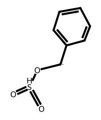 O=[SH](=O)O[CH]c1ccccc1